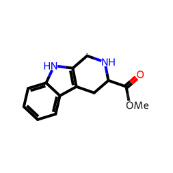 COC(=O)C1Cc2c([nH]c3ccccc23)[CH]N1